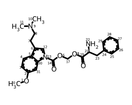 COc1ccc2c(CCN(C)C)cn(C(=O)OCOC(=O)[C@@H](N)Cc3ccccc3)c2c1